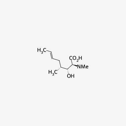 CC=CC[C@@H](C)[C@@H](O)[C@H](NC)C(=O)O